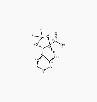 CC1(C)O[C@@H]([C@@H]2OCOC[C@@H]2O)[C@@](O)(C(=O)O)O1